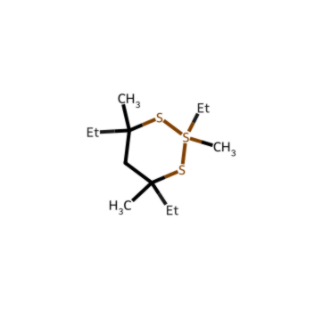 CCC1(C)CC(C)(CC)SS(C)(CC)S1